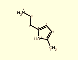 Cc1ccc(CCN)[nH]1